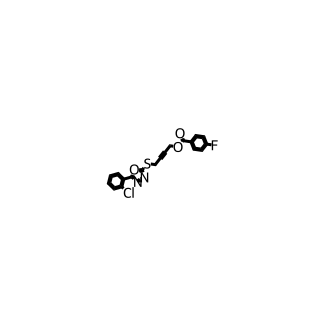 O=C(OCC#CCSc1nnc(-c2ccccc2Cl)o1)c1ccc(F)cc1